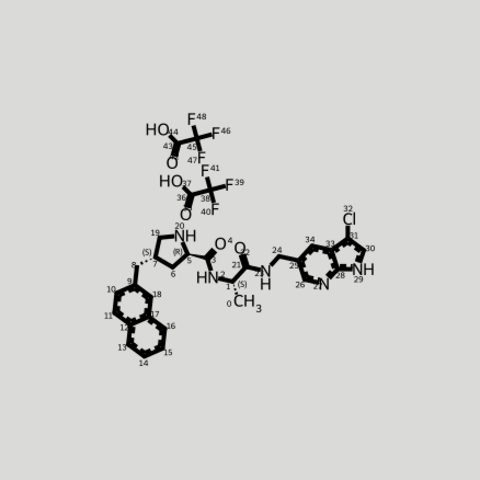 C[C@H](NC(=O)[C@H]1C[C@H](Cc2ccc3ccccc3c2)CN1)C(=O)NCc1cnc2[nH]cc(Cl)c2c1.O=C(O)C(F)(F)F.O=C(O)C(F)(F)F